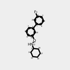 Fc1cccc(-c2cccc(ONC3CCCCC3)c2)c1